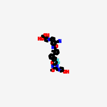 COc1nc(O[C@H]2CCc3c(-c4cccc(-c5nc6cc7c(c(C#N)c6o5)CC[C@H]7N5CC[C@@H](C(C)(O)O)C5)c4C)cccc32)c(C(F)(F)F)nc1CN1CC[C@@H](O)C1